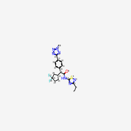 CCc1nsc(NC(=O)[C@H](c2ccc(-c3nnn(C)n3)cc2)[C@H]2CCC(F)(F)C2)n1